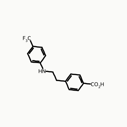 O=C(O)c1ccc(CCNc2ccc(C(F)(F)F)cc2)cc1